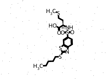 CCCCCSc1nc2ccc(S(=O)(=O)N[C@H](CCSC)C(=O)O)cc2s1